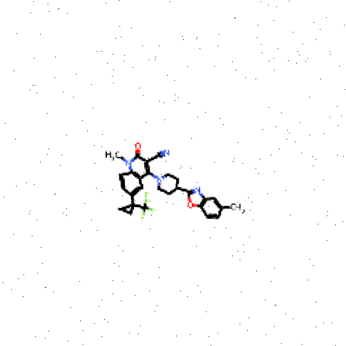 Cc1ccc2oc(C3CCN(c4c(C#N)c(=O)n(C)c5ccc(C6(C(F)(F)F)CC6)cc45)CC3)nc2c1